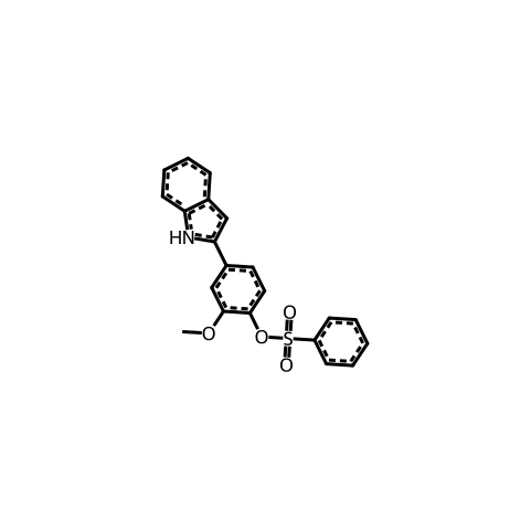 COc1cc(-c2cc3ccccc3[nH]2)ccc1OS(=O)(=O)c1ccccc1